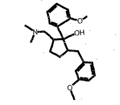 COc1cccc(CC2CCC(CN(C)C)C2(O)c2ccccc2OC)c1